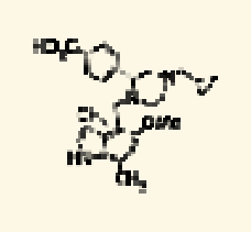 COc1cc(C)c2[nH]cc(C)c2c1CN1CCN(CC2CC2)C[C@H]1c1ccc(C(=O)O)cc1